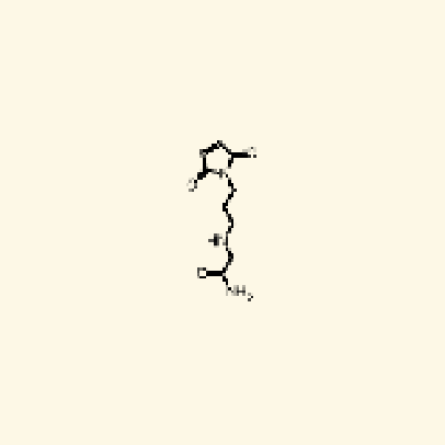 NC(=O)CNCCCN1C(=O)C=CC1=O